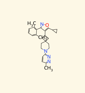 Cc1ccc(N2CCC3(C=C(c4c(-c5c(C)cccc5C)noc4C4CC4)C3)CC2)nn1